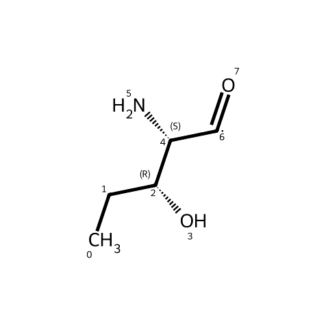 CC[C@@H](O)[C@H](N)[C]=O